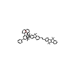 CC1(C)C2=C(c3ccccc31)C(C)(C)c1cc(/C=C/c3ccc4c(c3)C(C)(C)c3cc(N(c5ccccc5)c5c(F)cc(-c6ccccc6)cc5-c5ccccc5)ccc3-4)ccc12